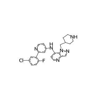 Fc1ccc(Cl)cc1-c1cc(Nc2ccnc3cnn(CC4CCNCC4)c23)ccn1